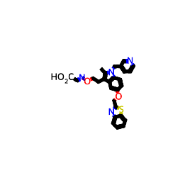 Cc1c(CCON=CC(=O)O)c2cc(OCc3nc4ccccc4s3)ccc2n1Cc1cccnc1